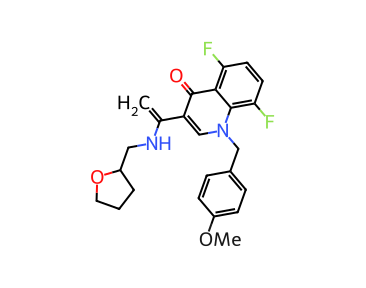 C=C(NCC1CCCO1)c1cn(Cc2ccc(OC)cc2)c2c(F)ccc(F)c2c1=O